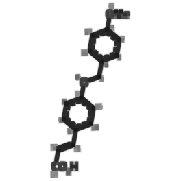 COc1ccc(COc2ccc(C=CC(=O)O)cc2)cc1